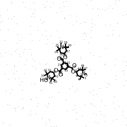 CN1C(C)(C)CC(OC(=O)c2cc(C(=O)OC3CC(C)(C)N(C)C(C)(C)C3)cc(C(=O)OC3CC(C)(C)N(O)C(C)(C)C3)c2)CC1(C)C